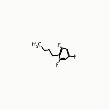 CCC[CH]c1c(F)cc(F)cc1F